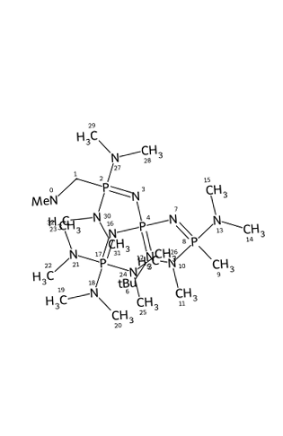 CNCP(=NP(=NC(C)(C)C)(N=P(C)(N(C)C)N(C)C)N=P(N(C)C)(N(C)C)N(C)C)(N(C)C)N(C)C